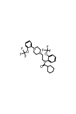 O=C(C1CCCCC1)N(CCN1CCN(c2ccccc2OC(F)(F)F)CC1)c1ccccc1OC(F)(F)F